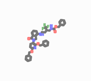 O=C(NCC(CCNc1cccc2c1CN(c1ccc(OCc3ccccc3)nc1OCc1ccccc1)C2=O)C(F)(F)F)OCc1ccccc1